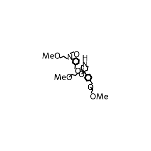 COCCCO[C@]1(c2ccc(COCCOC)cc2)CCNC[C@@H]1OCc1ccc2c(c1)N(CCCOC)CCO2